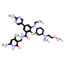 CCN(c1cc(-c2cnc(C)nc2)cc(C(=O)NCc2c(C)cc(C)[nH]c2=O)c1C)[C@H]1CC[C@H](N(C)CCOC)CC1